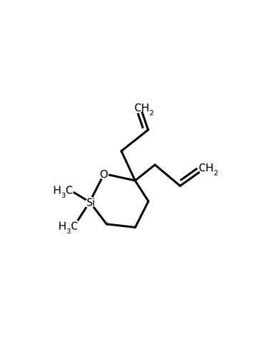 C=CCC1(CC=C)CCC[Si](C)(C)O1